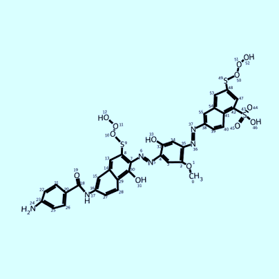 COc1cc(N=Nc2c(SOOO)cc3cc(NC(=O)c4ccc(N)cc4)ccc3c2O)c(O)cc1N=Nc1ccc2c(S(=O)(=O)O)cc(SOOO)cc2c1